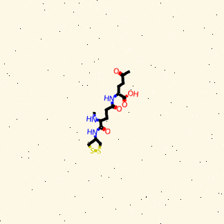 CNC(CCC(=O)NC(CCC(C)=O)C(=O)O)C(=O)NC1CSSC1